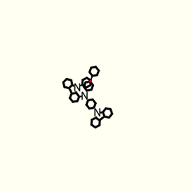 c1ccc(-c2ccc(N(c3ccc(-n4c5ccccc5c5ccccc54)cc3)c3cccc4c5ccccc5n(-c5ccccc5)c34)cc2)cc1